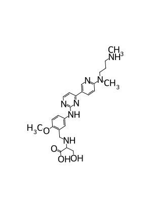 CNCCCN(C)c1ccc(-c2ccnc(Nc3ccc(OC)c(CNC(CO)C(=O)O)c3)n2)cn1